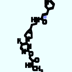 CNC(=O)COc1ncc(F)c(N2CC3C(CCNC(=O)/C=C/c4cccnc4)C3C2)n1